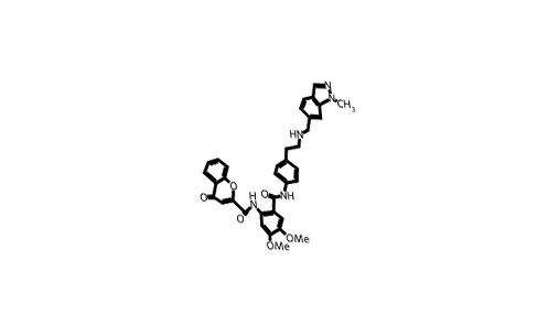 COc1cc(NC(=O)c2cc(=O)c3ccccc3o2)c(C(=O)Nc2ccc(CCNCc3ccc4cnn(C)c4c3)cc2)cc1OC